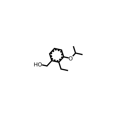 CCc1c(CO)cccc1OC(C)C